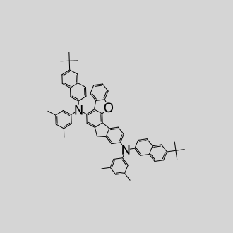 Cc1cc(C)cc(N(c2ccc3c(c2)Cc2cc(N(c4cc(C)cc(C)c4)c4ccc5cc(C(C)(C)C)ccc5c4)c4c(oc5ccccc54)c2-3)c2ccc3cc(C(C)(C)C)ccc3c2)c1